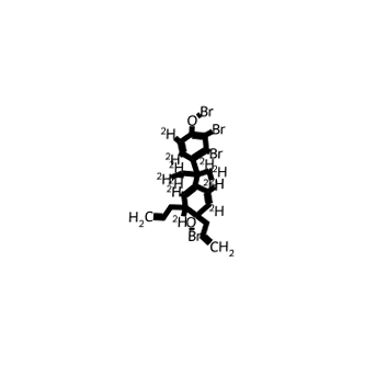 [2H]C1=C([2H])C(CC=C)(OBr)C([2H])(CC=C)C([2H])=C1C(c1c([2H])c([2H])c(OBr)c(Br)c1Br)(C([2H])([2H])[2H])C([2H])([2H])[2H]